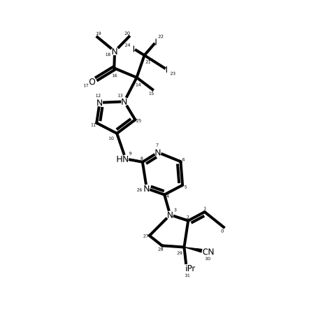 CC=C1N(c2ccnc(Nc3cnn(C(C)(C(=O)N(C)C)C(I)(I)I)c3)n2)CC[C@@]1(C#N)C(C)C